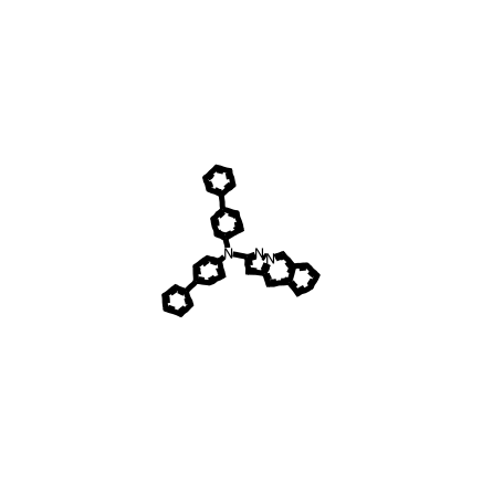 c1ccc(-c2ccc(N(c3ccc(-c4ccccc4)cc3)c3cc4cc5ccccc5cn4n3)cc2)cc1